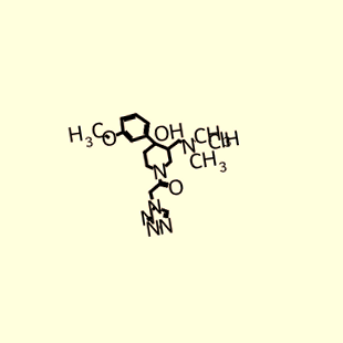 COc1cccc(C2(O)CCN(C(=O)Cn3cnnn3)CC2CN(C)C)c1.Cl